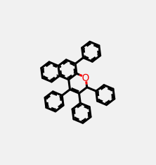 c1ccc(C2=C(c3ccccc3)C(c3ccccc3)Oc3c(-c4ccccc4)cc4ccccc4c32)cc1